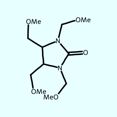 COCC1C(COC)N(COC)C(=O)N1COC